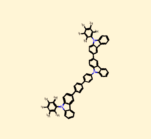 [2H]c1c([2H])c([2H])c(-n2c3ccccc3c3cc(-c4ccc(-c5ccc(-n6c7ccccc7c7cc(-c8ccc9c(c8)c8ccccc8n9-c8c([2H])c([2H])c([2H])c([2H])c8[2H])ccc76)cc5)cc4)ccc32)c([2H])c1[2H]